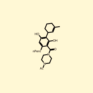 CCCCCc1cc(O)c(C2C=C(C)CCC2)c(O)c1C(=O)N1CCN(C(C)=O)CC1